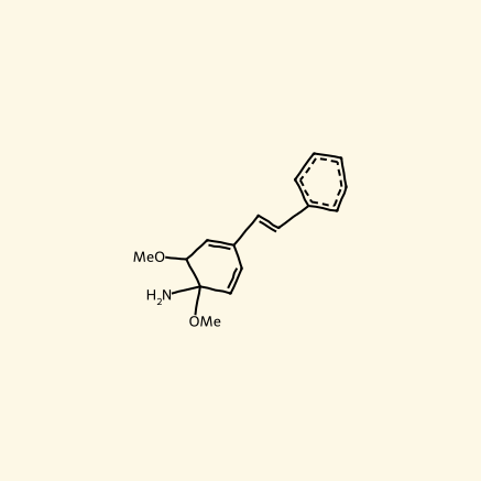 COC1C=C(C=Cc2ccccc2)C=CC1(N)OC